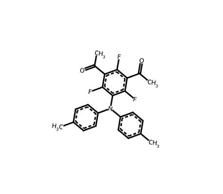 CC(=O)c1c(F)c(C(C)=O)c(F)c(N(c2ccc(C)cc2)c2ccc(C)cc2)c1F